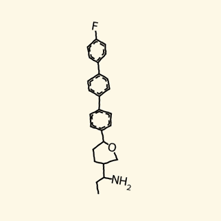 CCC(N)C1CCC(c2ccc(-c3ccc(-c4ccc(F)cc4)cc3)cc2)OC1